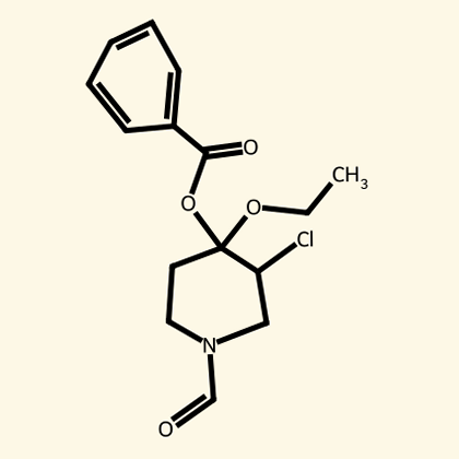 CCOC1(OC(=O)c2ccccc2)CCN(C=O)CC1Cl